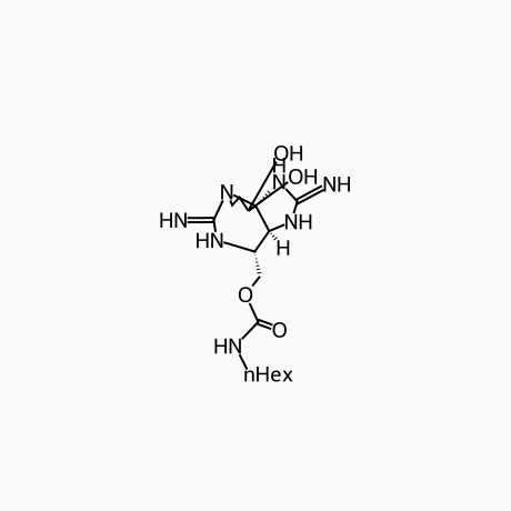 CCCCCCNC(=O)OC[C@@H]1NC(=N)N2CCC(O)(O)[C@@]23NC(=N)N[C@@H]13